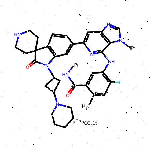 CCOC(=O)[C@@H]1CCCN(C2CC(N3C(=O)C4(CCNCC4)c4ccc(-c5cc6ncn(C(C)C)c6c(Nc6cc(C(=O)NC(C)C)c(C)cc6F)n5)cc43)C2)C1